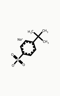 CC(C)(C)c1ccc(S(=O)(=O)[O-])cc1.[Na+]